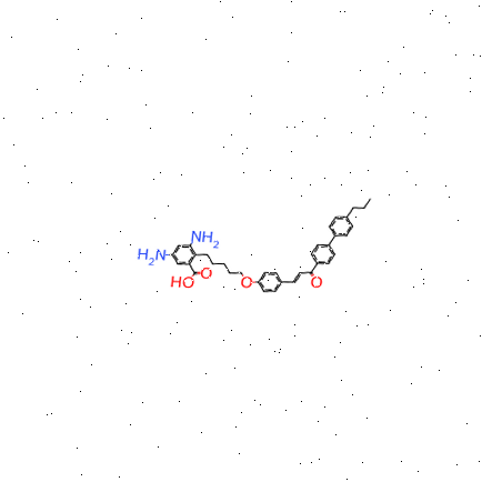 CCCc1ccc(-c2ccc(C(=O)C=Cc3ccc(OCCCCCc4c(N)cc(N)cc4C(=O)O)cc3)cc2)cc1